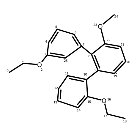 CCOc1cccc(-c2c(-c3ccccc3OCC)[c]ccc2OC)c1